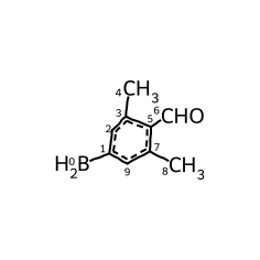 Bc1cc(C)c(C=O)c(C)c1